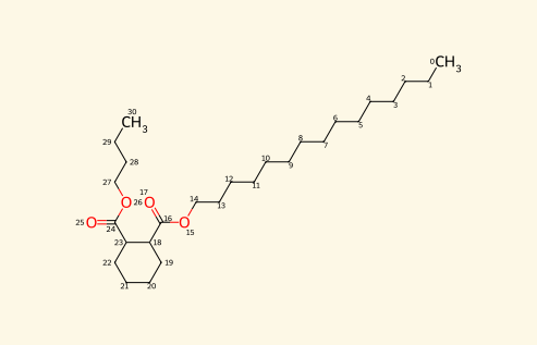 CCCCCCCCCCCCCCCOC(=O)C1CCCCC1C(=O)OCCCC